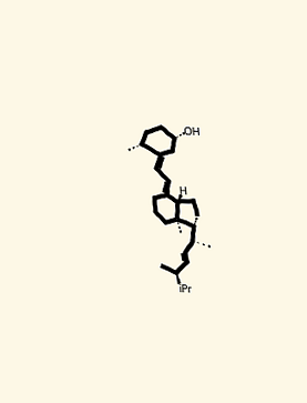 CC(C)[C@@H](C)/C=C/[C@@H](C)[C@H]1CC[C@H]2/C(=C/C=C3\C[C@@H](O)CC[C@H]3C)CCC[C@]12C